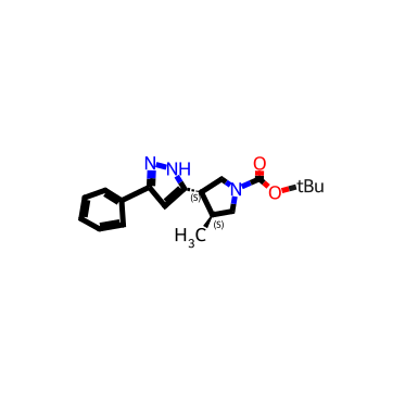 C[C@@H]1CN(C(=O)OC(C)(C)C)C[C@H]1c1cc(-c2ccccc2)n[nH]1